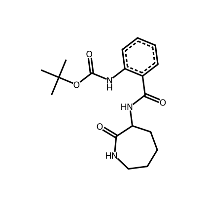 CC(C)(C)OC(=O)Nc1ccccc1C(=O)NC1CCCCNC1=O